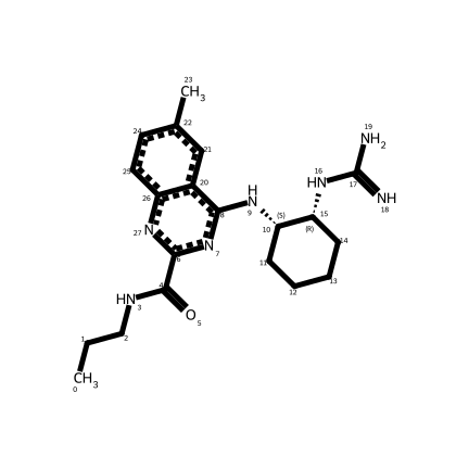 CCCNC(=O)c1nc(N[C@H]2CCCC[C@H]2NC(=N)N)c2cc(C)ccc2n1